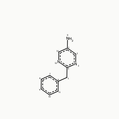 Nc1cnc(Cc2ccccc2)nc1